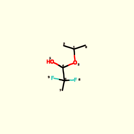 CC(C)OC(O)C(C)(F)F